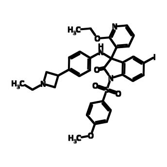 CCOc1ncccc1C1(Nc2ccc(C3CN(CC)C3)cc2)C(=O)N(S(=O)(=O)c2ccc(OC)cc2)c2ccc(I)cc21